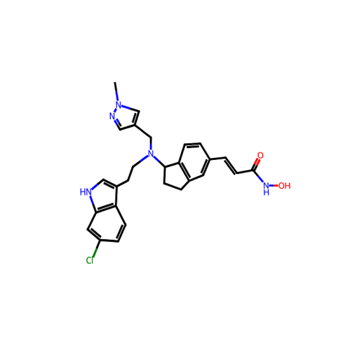 Cn1cc(CN(CCc2c[nH]c3cc(Cl)ccc23)C2CCc3cc(/C=C/C(=O)NO)ccc32)cn1